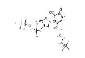 CC(C)(C)[Si](C)(C)OCC(F)(F)CN1CC(c2c(OCOCC[Si](C)(C)C)ccc(Cl)c2Cl)CC1=S